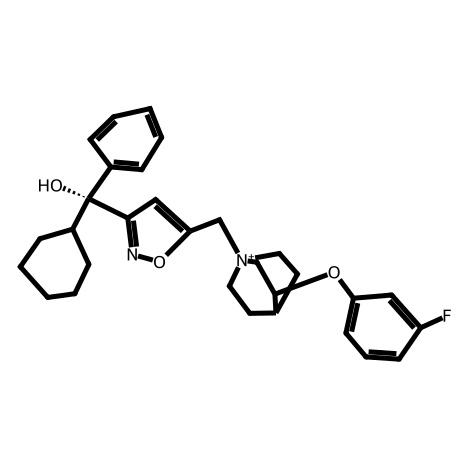 O[C@](c1ccccc1)(c1cc(C[N+]23CCC(CC2)C(Oc2cccc(F)c2)C3)on1)C1CCCCC1